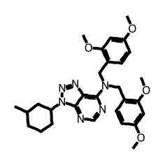 COc1ccc(CN(Cc2ccc(OC)cc2OC)c2ncnc3c2nnn3C2CCCC(C)C2)c(OC)c1